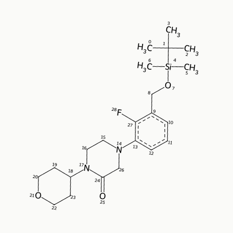 CC(C)(C)[Si](C)(C)OCc1cccc(N2CCN(C3CCOCC3)C(=O)C2)c1F